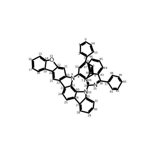 c1ccc(-c2cccc(-n3c4cc5oc6ccccc6c5cc4c4ccc5c6ccccc6n(-c6nc(-c7ccccc7)c7ccccc7n6)c5c43)c2)cc1